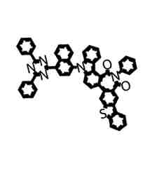 O=c1c2cc3c(cc2c2ccc4c(c5ccccc5n4-c4ccc(-c5nc(-c6ccccc6)nc(-c6ccccc6)n5)c5ccccc45)c2c(=O)n1-c1ccccc1)sc1ccccc13